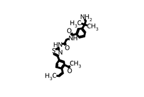 C/C=C\c1ccc(-c2csc(NC(=O)CNC(=O)c3cccc(C(C)(C)CN)c3)n2)cc1C(C)=O